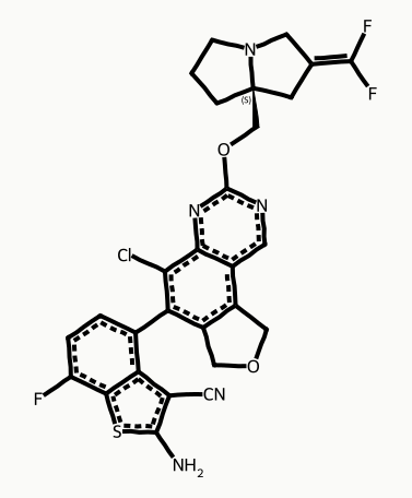 N#Cc1c(N)sc2c(F)ccc(-c3c4c(c5cnc(OC[C@@]67CCCN6CC(=C(F)F)C7)nc5c3Cl)COC4)c12